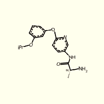 CC(C)Oc1cccc(Oc2ccc(NC(=O)[C@@H](C)N)cn2)c1